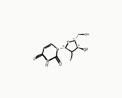 O=c1ccn([C@@H]2O[C@H](CO)[C@@H](O)C2F)c(=O)[nH]1